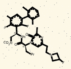 Cc1cc(-c2c(C)cccc2C)c(F)c([C@H](CC(=O)O)NC(=O)[C@H](CC(C)C)n2cc(CCN3CC(F)C3)nc(C)c2=O)c1F